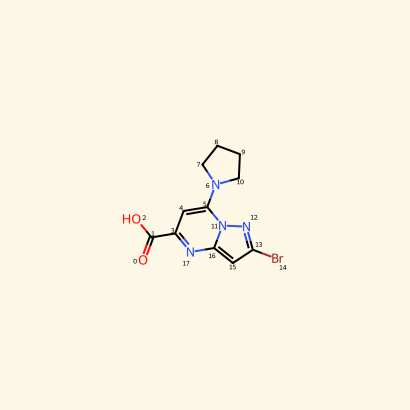 O=C(O)c1cc(N2CCCC2)n2nc(Br)cc2n1